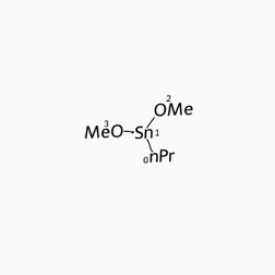 CC[CH2][Sn]([O]C)[O]C